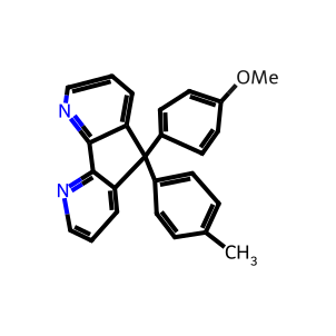 COc1ccc(C2(c3ccc(C)cc3)c3cccnc3-c3ncccc32)cc1